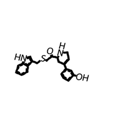 O=C(CSCc1c[nH]c2ccccc12)C1CC(c2cccc(O)c2)=CCN1